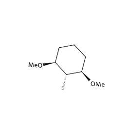 CO[C@H]1CCC[C@@H](OC)[C@@H]1C